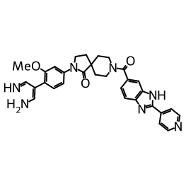 COc1cc(N2CCC3(CCN(C(=O)c4ccc5nc(-c6ccncc6)[nH]c5c4)CC3)C2=O)ccc1/C(C=N)=C/N